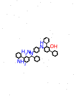 Nc1ccccc1-c1cccc(C(c2ccccc2)N(N)c2ccc(Nc3ccc(-c4ccccc4)c(O)c3C3C=CC=CC3)cc2)c1